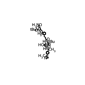 Cc1ncsc1-c1ccc(C(C)NC(=O)[C@@H]2C[C@@H](O)CN2C(=O)C(NC(=O)CCCc2cccc(OCC(CCC(N)=O)NC(=O)OC(C)(C)C)c2F)C(C)(C)C)cc1